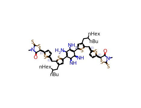 CCCCCCC(CCCC)Cc1cc(C2=C(N)C(N)=C(c3cc(CC(CCCC)CCCCCC)c(/C=c4\cc/c(=C5\SC(=S)N(C)C5=O)s4)s3)C(=N)C2=N)sc1/C=c1\cc/c(=C2\SC(=S)N(C)C2=O)s1